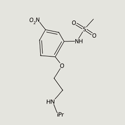 CC(C)NCCOc1ccc([N+](=O)[O-])cc1NS(C)(=O)=O